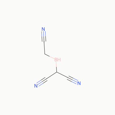 N#CCBC(C#N)C#N